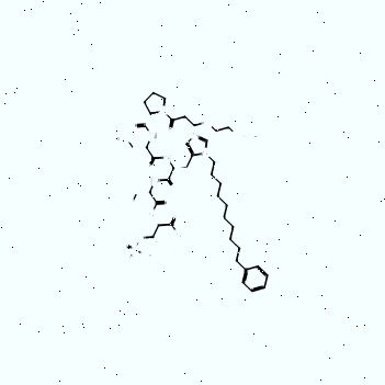 COCCOCCC(=O)N1CCC[C@H]1C(=O)N[C@@H](CC(C)C)C(=O)N[C@@H](Cc1cncn1CCCCCCCCCCc1ccccc1)C(=O)N[C@@H](CO)C(=O)N[C@H](C(N)=O)[C@@H](C)OP(=O)(O)O